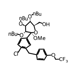 CCCCO[C@H]1[C@H](OCCCC)[C@@H](CO)O[C@@](OC)(c2ccc(Cl)c(Cc3ccc(OCC(F)(F)F)cc3)c2)[C@@H]1OCCCC